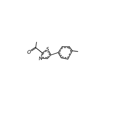 CC(=O)c1ncc(-c2ccc(C)cc2)s1